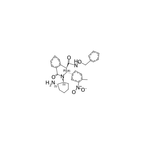 Cc1ccc([C@H]2[C@H](C(=O)NOCc3ccccc3)c3ccccc3C(=O)N2[C@H]2CCCC[C@@H]2N)cc1[N+](=O)[O-]